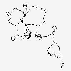 O=C(N[C@H]1CC=CC[C@H]2COC[C@@H](C(=O)O)N2C1=O)c1ccc(F)cc1